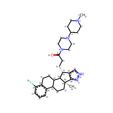 CN1CCC(N2CCN(C(=O)CC[C@@H]3c4c[nH]nc4[C@@]4(C)CCC5c6cccc(F)c6CCC5C34)CC2)CC1